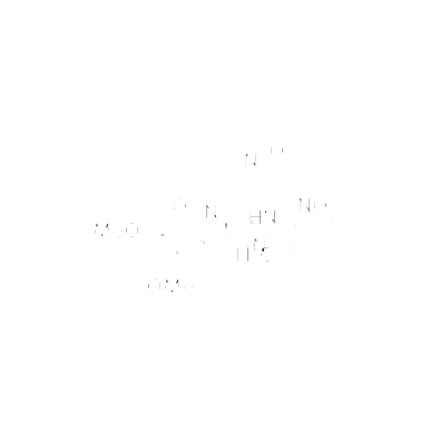 COc1cc(OC)cc(-c2cc3cnc(Nc4c(C)cccc4[N+](=O)[O-])cc3n(CCCN3CCOCC3)c2=O)c1